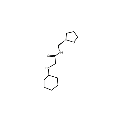 O=C(CNC1CCCCC1)NC[C@H]1CCCO1